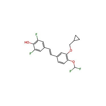 Oc1c(F)cc(C=Cc2ccc(OC(F)F)c(OCC3CC3)c2)cc1F